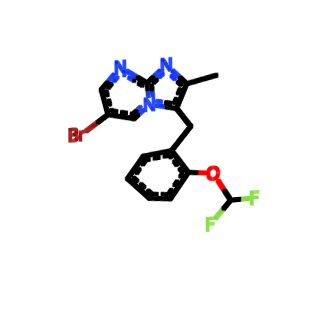 Cc1nc2ncc(Br)cn2c1Cc1ccccc1OC(F)F